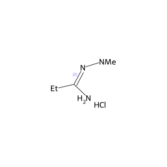 CC/C(N)=N/NC.Cl